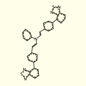 C(=C\N(/C=C/c1ccc(-c2cccc3nsnc23)cc1)c1ccccc1)/c1ccc(-c2cccc3nsnc23)cc1